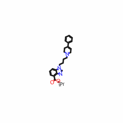 CC(C)OC(=O)c1cccc2c1ncn2CCCCN1CC=C(c2ccccc2)CC1